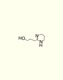 OCCCC1=NCCCN1